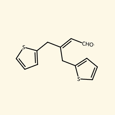 O=[C]C=C(Cc1cccs1)Cc1cccs1